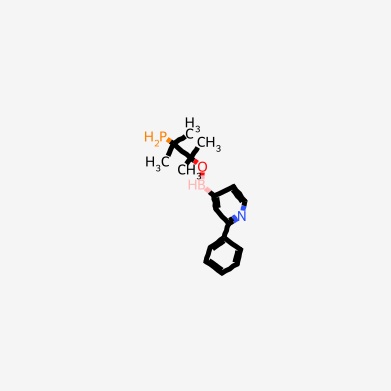 CC(C)(P)C(C)(C)OBc1ccnc(-c2ccccc2)c1